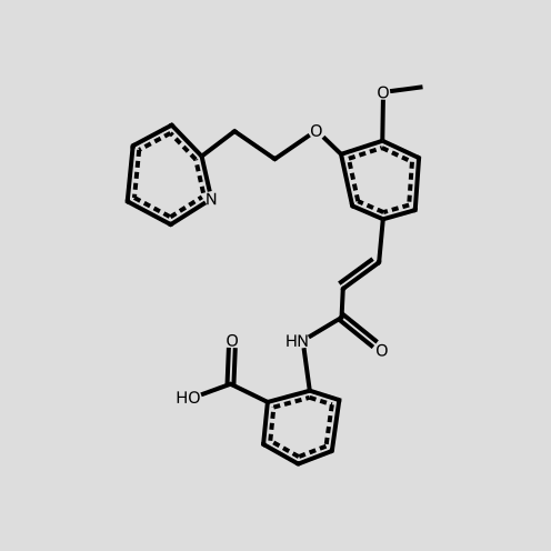 COc1ccc(C=CC(=O)Nc2ccccc2C(=O)O)cc1OCCc1ccccn1